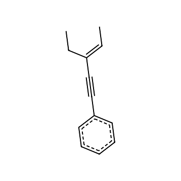 C/C=C(/C#Cc1ccccc1)CC